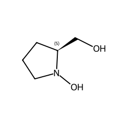 OC[C@@H]1CCCN1O